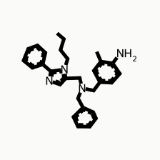 CCCCn1c(CN(Cc2ccccc2)Cc2ccc(N)c(C)c2)cnc1-c1ccccc1